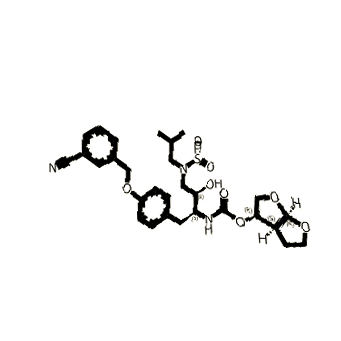 CC(C)CN(C[C@@H](O)[C@H](Cc1ccc(OCc2cccc(C#N)c2)cc1)NC(=O)O[C@H]1CO[C@H]2OCC[C@H]21)[SH](=O)=O